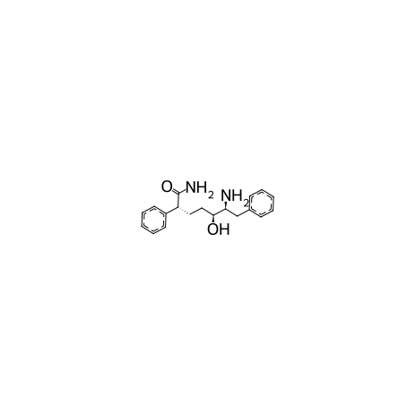 NC(=O)[C@H](CC[C@H](O)[C@@H](N)Cc1ccccc1)c1ccccc1